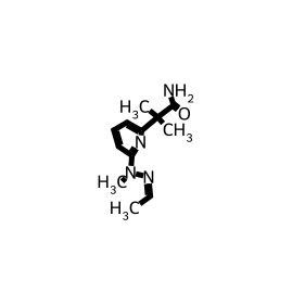 C/C=N\N(C)c1cccc(C(C)(C)C(N)=O)n1